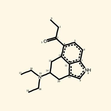 CCC(=O)c1ccc2[nH]cc3c2c1CC(N(CC)CC)C3